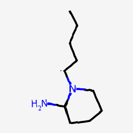 CCCC[CH]N1CCCCC1N